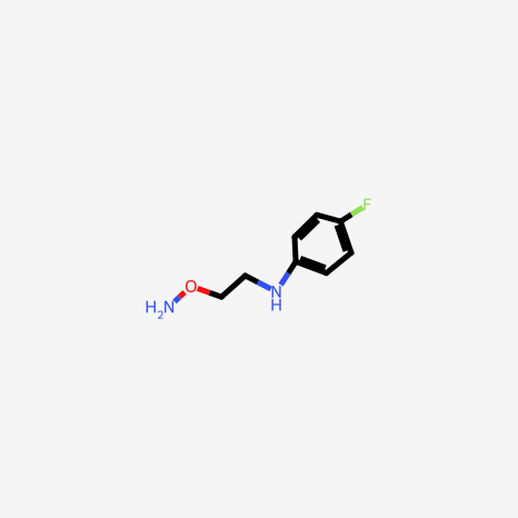 NOCCNc1ccc(F)cc1